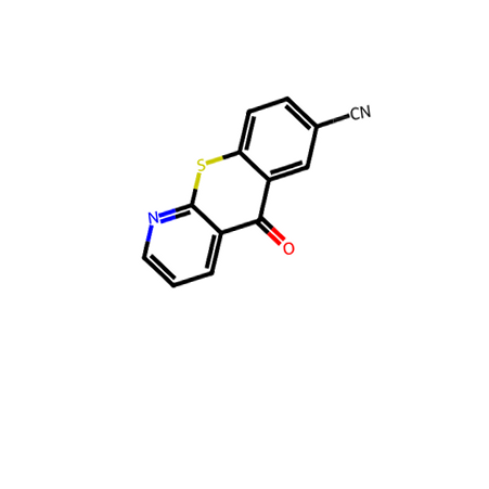 N#Cc1ccc2sc3ncccc3c(=O)c2c1